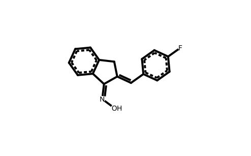 O/N=C1\C(=C\c2ccc(F)cc2)Cc2ccccc21